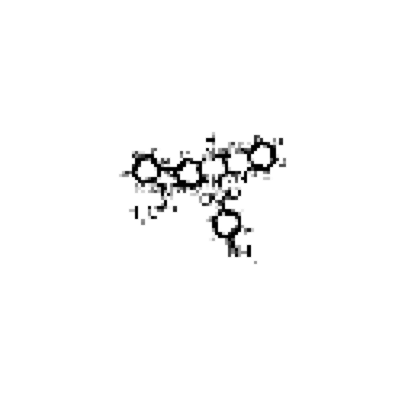 Bc1ccc(S(=O)(=O)Nc2nc3ccccc3nc2Nc2ccc3c(c2)c2ccccc2n3CC)cc1